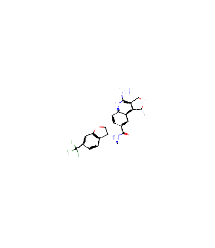 C[C@@H]1OCc2c(N)nc3ccc(C(=O)N(C)[C@@H]4COc5cc(C(F)(F)F)ccc54)cc3c21